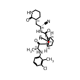 Cc1c(Cl)cccc1N[C@@H](C)C(=O)N1[C@@H]2CC[C@H]([C@@H]1C(=O)N[C@@H](C#N)C[C@@H]1CCCNC1=O)C(F)(F)C2